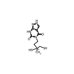 C[C@](S)(CS)CCn1c(=O)[nH]c2n[nH]cc2c1=O